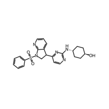 O=S(=O)(c1ccccc1)N1CC(c2ccnc(N[C@H]3CC[C@H](O)CC3)n2)c2cccnc21